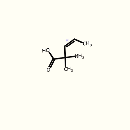 C/C=C\C(C)(N)C(=O)O